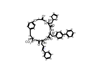 O=C1COc2ccc(cc2)C[C@@H](C(=O)O)NC(=O)[C@@H](C/C=C/c2ccccc2)NC(=O)[C@H](Cc2ccc(-c3ccccc3)cc2)NC(=O)[C@@H](CC2CC=CS2)N1